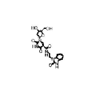 O=C(NCCn1c(=O)[nH]c2ccccc21)c1cn([C@H]2CC(O)[C@@H](CO)O2)c(=O)[nH]c1=O